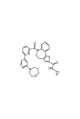 O=C(NC1CC1)c1cc2c(s1)-c1ccccc1N(C(=O)c1cccc(-c3ccnc(N4CCCOCC4)c3)n1)CC2